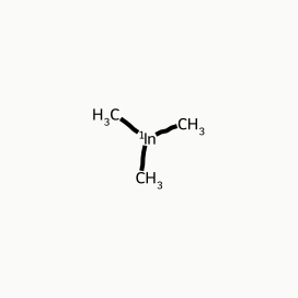 [CH3][1In]([CH3])[CH3]